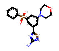 Nc1nsc(-c2cc(N3CCOCC3)cc(S(=O)(=O)c3ccccc3)c2)n1